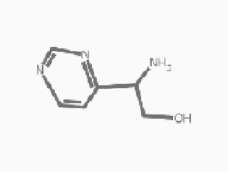 NC(CO)c1ccncn1